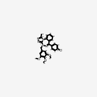 COc1cc(CN2N=C(c3ccc(Cl)cc3)c3ccccc3-n3c(C)nnc32)cc(OC)c1OC